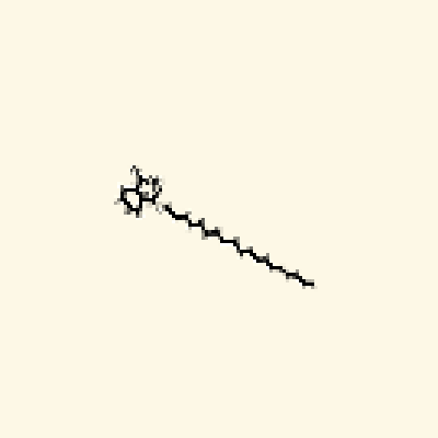 CCCCCCCCCCCCCCCCCCCOC(=O)C1CC=CCC1C(=O)O